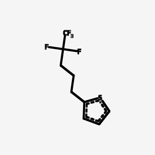 FC(F)(F)C(F)(F)CCCc1cccs1